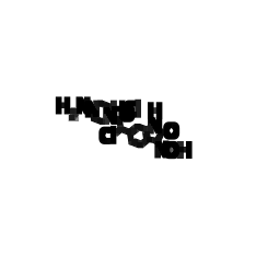 Cl.NN1CCN(C(=O)C(Cl)c2ccc3c(c2)NC(=O)C3=NO)CC1